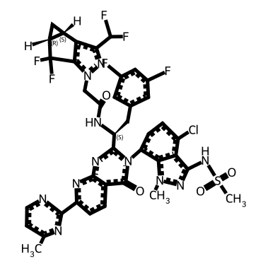 Cc1ccnc(-c2ccc3c(=O)n(-c4ccc(Cl)c5c(NS(C)(=O)=O)nn(C)c45)c([C@H](Cc4cc(F)cc(F)c4)NC(=O)Cn4nc(C(F)F)c5c4C(F)(F)[C@@H]4C[C@H]54)nc3n2)n1